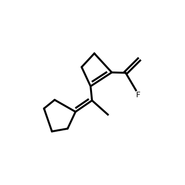 C=C(F)C1=C(C(C)=C2CCCC2)CC1